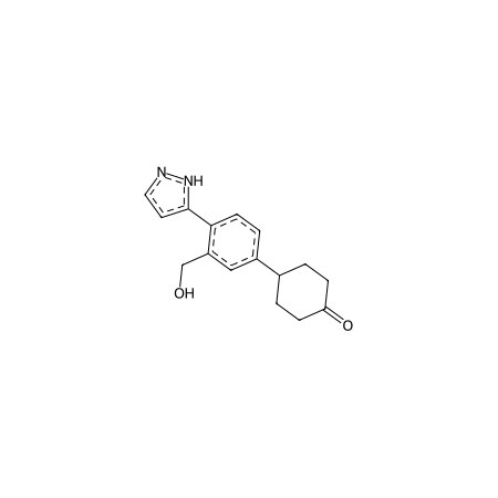 O=C1CCC(c2ccc(-c3ccn[nH]3)c(CO)c2)CC1